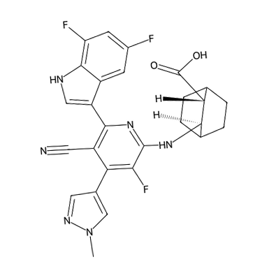 Cn1cc(-c2c(F)c(N[C@@H]3C4CCC(CC4)[C@H]3C(=O)O)nc(-c3c[nH]c4c(F)cc(F)cc34)c2C#N)cn1